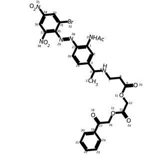 CC(=O)Nc1cc(C(C)NCCC(=O)OCC(=O)OCC(=O)c2ccccc2)ccc1N=Nc1c(Br)cc([N+](=O)[O-])cc1[N+](=O)[O-]